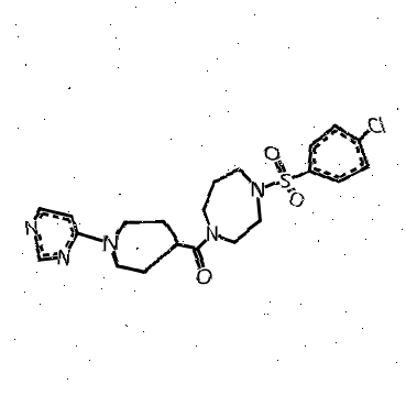 O=C(C1CCN(c2ccncn2)CC1)N1CCCN(S(=O)(=O)c2ccc(Cl)cc2)CC1